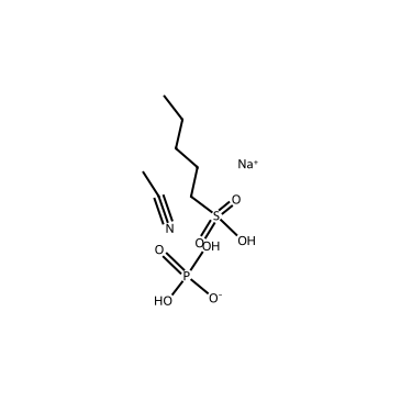 CC#N.CCCCCS(=O)(=O)O.O=P([O-])(O)O.[Na+]